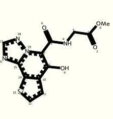 COC(=O)CNC(=O)c1c(O)c2ccsc2c2ncnn12